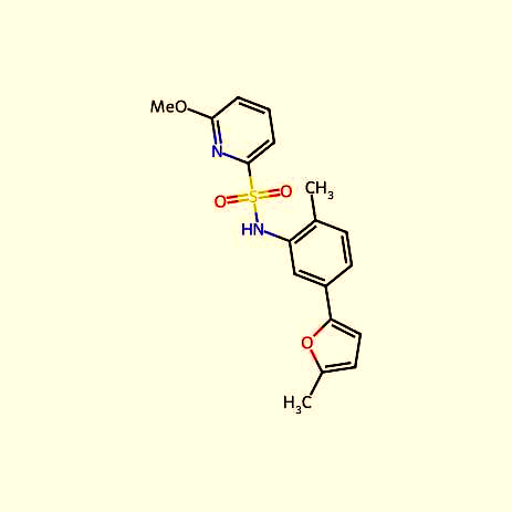 COc1cccc(S(=O)(=O)Nc2cc(-c3ccc(C)o3)ccc2C)n1